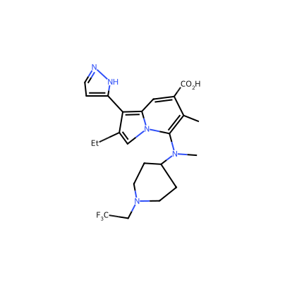 CCc1cn2c(N(C)C3CCN(CC(F)(F)F)CC3)c(C)c(C(=O)O)cc2c1-c1ccn[nH]1